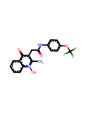 Cc1c(CC(=O)Nc2ccc(OC(F)(F)F)cc2)c(=O)c2ccccc2n1O